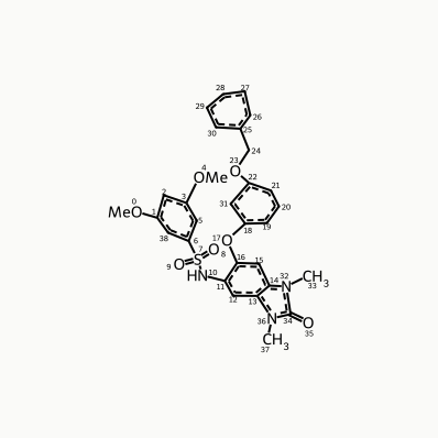 COc1cc(OC)cc(S(=O)(=O)Nc2cc3c(cc2Oc2cccc(OCc4ccccc4)c2)n(C)c(=O)n3C)c1